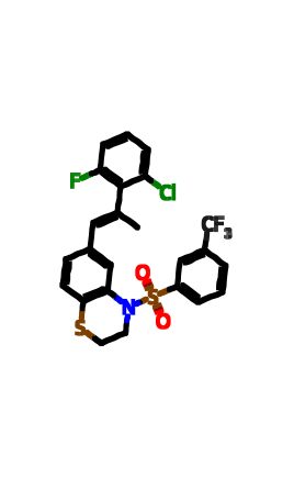 CC(=Cc1ccc2c(c1)N(S(=O)(=O)c1cccc(C(F)(F)F)c1)CCS2)c1c(F)cccc1Cl